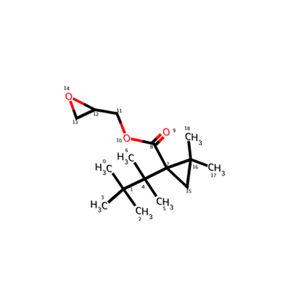 CC(C)(C)C(C)(C)C1(C(=O)OCC2CO2)CC1(C)C